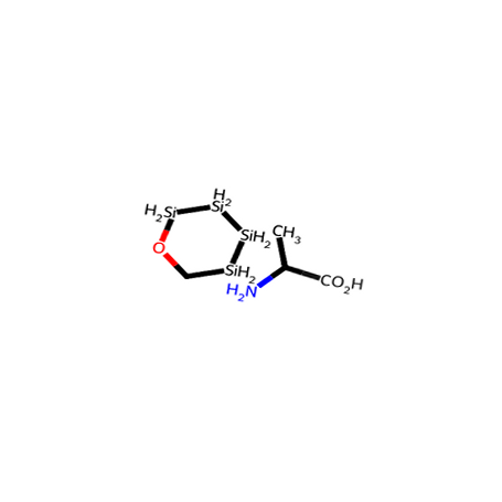 C1O[SiH2][SiH2][SiH2][SiH2]1.CC(N)C(=O)O